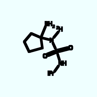 [2H]N(C1(B)CCCC1)S(=O)(=O)NC(C)C